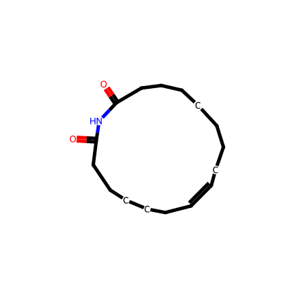 O=C1CCCCC/C=C\CCCCCCCC(=O)N1